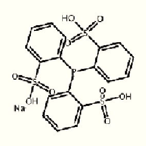 O=S(=O)(O)c1ccccc1P(c1ccccc1S(=O)(=O)O)c1ccccc1S(=O)(=O)O.[Na]